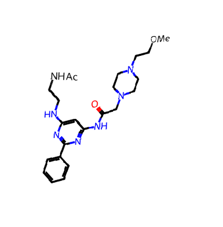 COCCN1CCN(CC(=O)Nc2cc(NCCNC(C)=O)nc(-c3ccccc3)n2)CC1